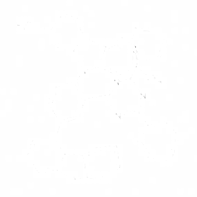 FC(F)(F)c1ccc2c3ccc(C(F)(F)F)cc3n(-c3ccc(-c4cccc5oc6ccccc6c45)cc3-c3nc(-c4ccccc4)nc(-c4ccccc4)n3)c2c1